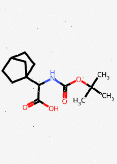 CC(C)(C)OC(=O)NC(C(=O)O)C12CCC(CC1)C2